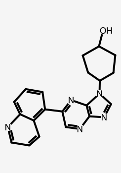 OC1CCC(n2cnc3ncc(-c4cccc5ncccc45)nc32)CC1